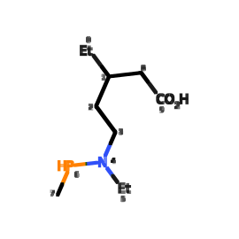 CCC(CCN(CC)PC)CC(=O)O